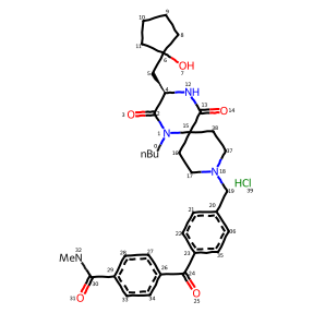 CCCCN1C(=O)[C@@H](CC2(O)CCCC2)NC(=O)C12CCN(Cc1ccc(C(=O)c3ccc(C(=O)NC)cc3)cc1)CC2.Cl